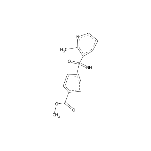 COC(=O)c1ccc(S(=N)(=O)c2cccnc2C)cc1